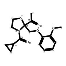 COc1ccccc1OCC1(C(C)=S)SCCN1C(=O)C1CC1